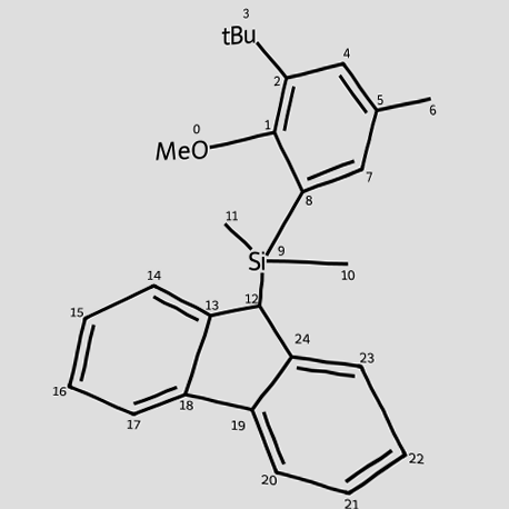 COc1c(C(C)(C)C)cc(C)cc1[Si](C)(C)C1c2ccccc2-c2ccccc21